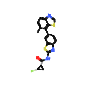 Cc1ccc2ncsc2c1-c1ccc2nc(NC(=O)[C@@H]3C[C@@H]3F)sc2c1